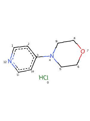 Cl.c1cc(N2CCOCC2)ccn1